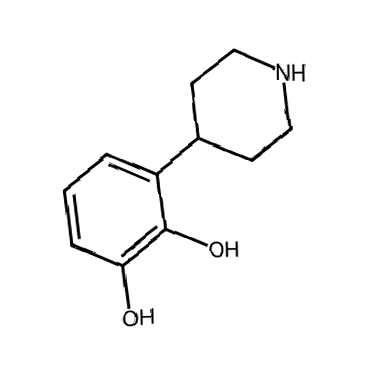 Oc1cccc(C2CCNCC2)c1O